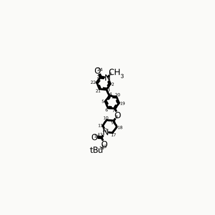 Cn1cc(-c2ccc(OC3CCN(C(=O)OC(C)(C)C)CC3)cc2)ccc1=O